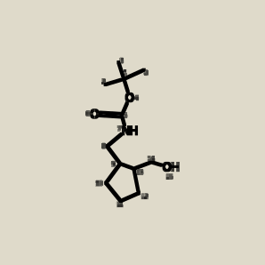 CC(C)(C)OC(=O)NCC1CCCC1CO